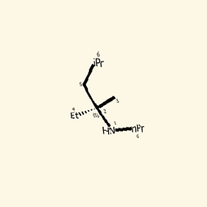 CCCN[C@@](C)(CC)CC(C)C